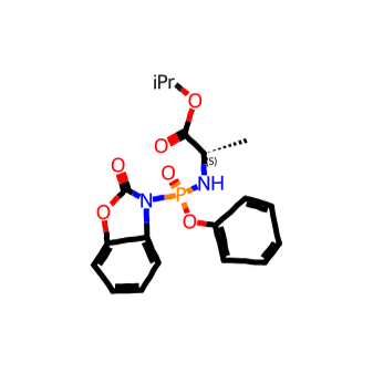 CC(C)OC(=O)[C@H](C)NP(=O)(Oc1ccccc1)n1c(=O)oc2ccccc21